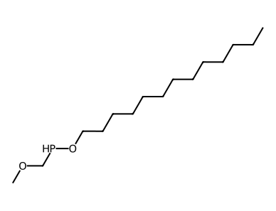 CCCCCCCCCCCCCOPCOC